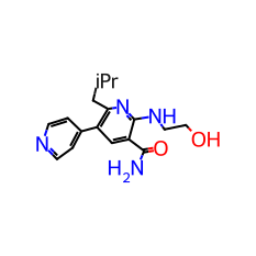 CC(C)Cc1nc(NCCO)c(C(N)=O)cc1-c1ccncc1